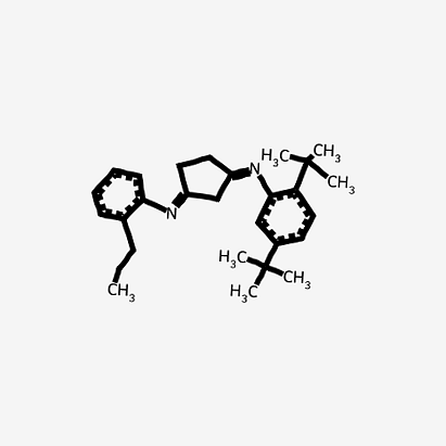 CCCc1ccccc1N=C1CCC(=Nc2cc(C(C)(C)C)ccc2C(C)(C)C)C1